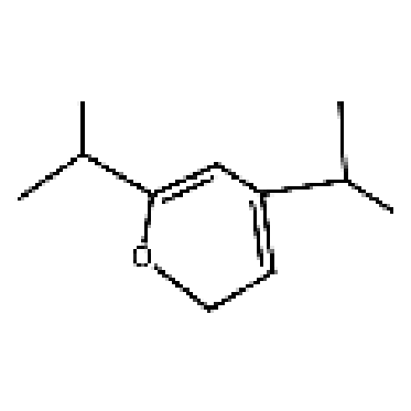 CC(C)C1=CCOC(C(C)C)=C1